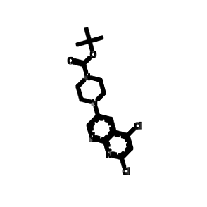 CC(C)(C)OC(=O)N1CCN(c2cnc3nc(Cl)cc(Cl)c3c2)CC1